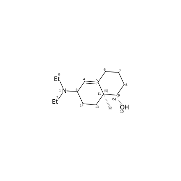 CCN(CC)C1C=C2CCC[C@H](O)[C@@]2(C)CC1